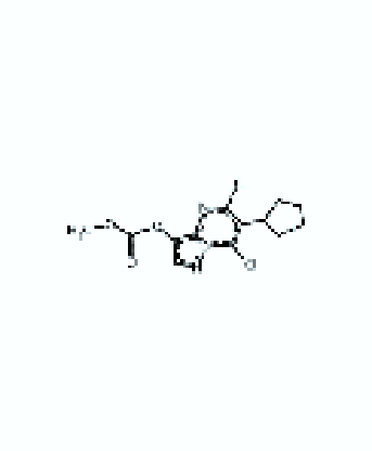 COC(=O)Oc1cnn2c(Cl)c(C3CCCC3)c(Cl)nc12